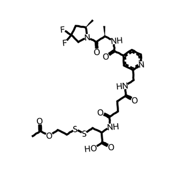 CC(=O)OCCSSCC(NC(=O)CCC(=O)NCc1cc(C(=O)N[C@H](C)C(=O)N2CC(F)(F)C[C@H]2C)ccn1)C(=O)O